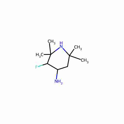 CC1(C)CC(N)C(F)C(C)(C)N1